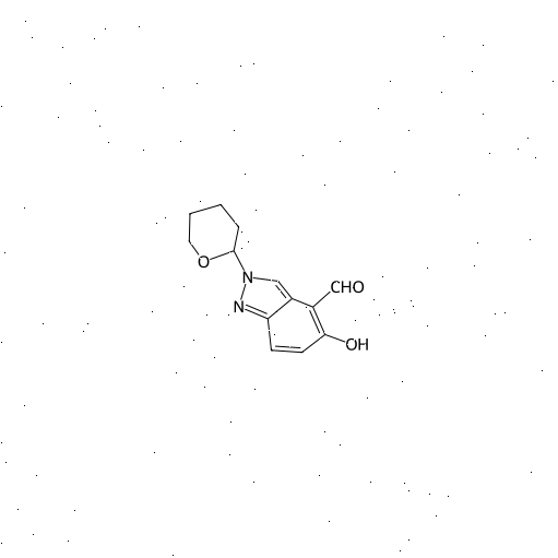 O=Cc1c(O)ccc2nn(C3CCCCO3)cc12